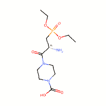 CCOP(=O)(C[C@H](N)C(=O)N1CCN(C(=O)O)CC1)OCC